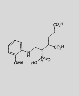 COc1ccccc1NCC(C(CCC(=O)O)C(=O)O)[PH](=O)O